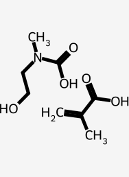 C=C(C)C(=O)O.CN(CCO)C(=O)O